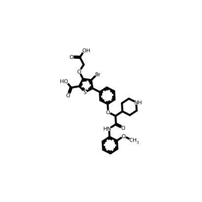 COc1ccccc1NC(=O)C(Oc1cccc(-c2sc(C(=O)O)c(OCC(=O)O)c2Br)c1)C1CCNCC1